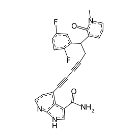 Cn1cccc(C(CC#CC#Cc2ccnc3[nH]cc(C(N)=O)c23)c2cc(F)ccc2F)c1=O